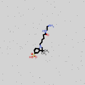 CC1(C)CN(CCCCCC(=O)NCCN)c2ccc(S(=O)(=O)O)cc21